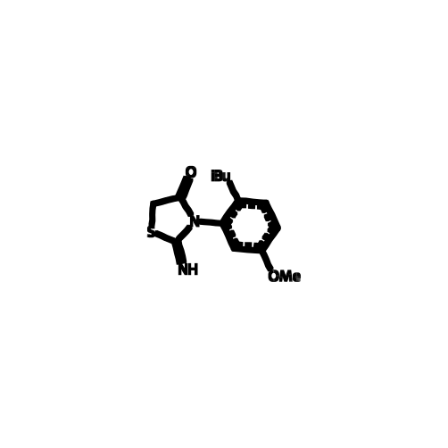 CCC(C)c1ccc(OC)cc1N1C(=N)SCC1=O